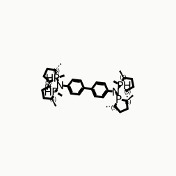 C[C@H]1CC[C@H](C)P1N(c1ccc(-c2ccc(N([PH]3(C)[C@@H](C)CC[C@@H]3C)[PH]3(C)[C@@H](C)CC[C@@H]3C)cc2)cc1)[PH]1(C)[C@@H](C)CC[C@@H]1C